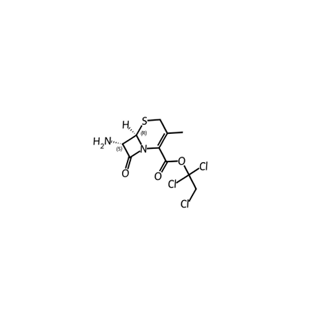 CC1=C(C(=O)OC(Cl)(Cl)CCl)N2C(=O)[C@H](N)[C@H]2SC1